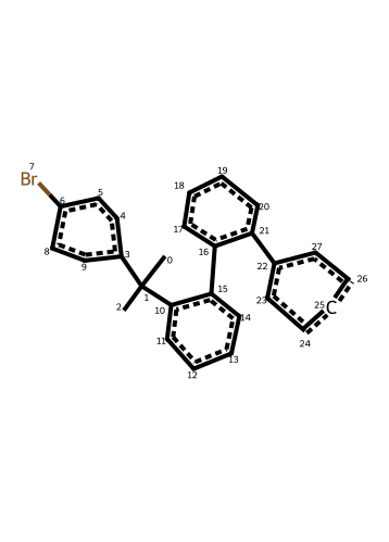 CC(C)(c1ccc(Br)cc1)c1ccccc1-c1ccccc1-c1ccccc1